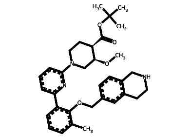 CO[C@H]1CN(c2cccc(-c3cccc(C)c3OCc3ccc4c(c3)CCNC4)n2)CC[C@H]1C(=O)OC(C)(C)C